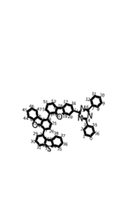 c1ccc(-c2nc(-c3ccccc3)nc(-c3ccc4c(c3)oc3c(-c5ccc(-c6cccc7sc8ccccc8c67)c6oc7ccccc7c56)cccc34)n2)cc1